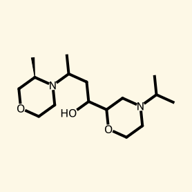 CC(C)N1CCOC(C(O)CC(C)N2CCOC[C@H]2C)C1